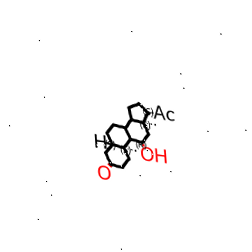 CC(=O)[C@H]1CCC2C3CC[C@H]4CC(=O)CC[C@]4(C)C3[C@H](O)C[C@@]21C